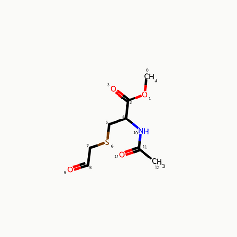 COC(=O)C(CSCC=O)NC(C)=O